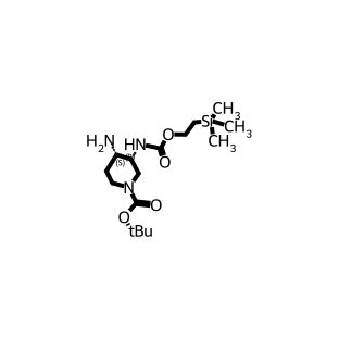 CC(C)(C)OC(=O)N1CC[C@H](N)[C@H](NC(=O)OCC[Si](C)(C)C)C1